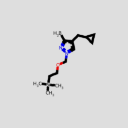 Bc1nn(COCC[Si](C)(C)C)cc1CC1CC1